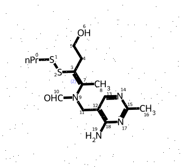 CCCSS/C(CCO)=C(/C)N(C=O)Cc1cnc(C)nc1N